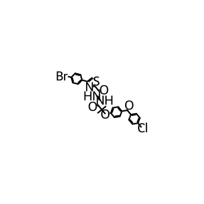 CC(C)(Oc1ccc(C(=O)c2ccc(Cl)cc2)cc1)C(=O)NNC(=O)c1nc(-c2ccc(Br)cc2)cs1